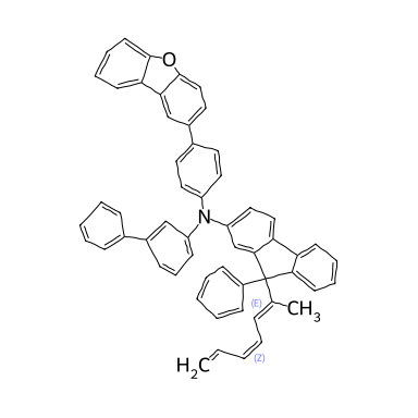 C=C/C=C\C=C(/C)C1(c2ccccc2)c2ccccc2-c2ccc(N(c3ccc(-c4ccc5oc6ccccc6c5c4)cc3)c3cccc(-c4ccccc4)c3)cc21